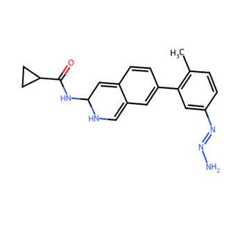 Cc1ccc(N=NN)cc1-c1ccc2c(c1)=CNC(NC(=O)C1CC1)C=2